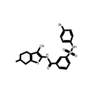 CC1CCc2c(sc(NC(=O)c3cccc(S(=O)(=O)Nc4ccc(Br)cc4)c3)c2C#N)C1